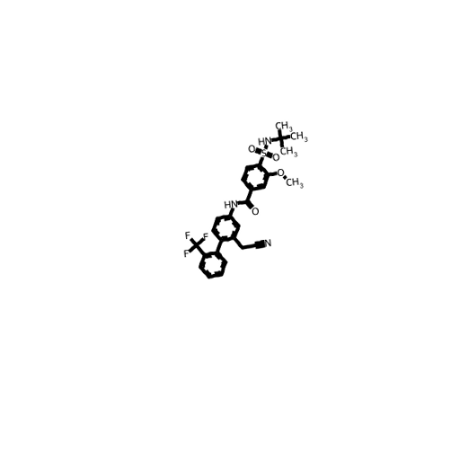 COc1cc(C(=O)Nc2ccc(-c3ccccc3C(F)(F)F)c(CC#N)c2)ccc1S(=O)(=O)NC(C)(C)C